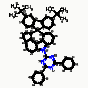 CC(C)(C)c1ccc2c(c1)-c1cc(C(C)(C)C)ccc1C21c2cccc3ccc4c(c23)c2c1cccc2n4-c1nc(-c2ccccc2)nc(-c2ccccc2)n1